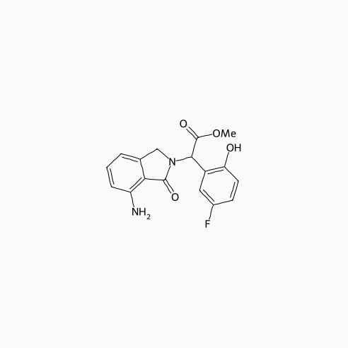 COC(=O)C(c1cc(F)ccc1O)N1Cc2cccc(N)c2C1=O